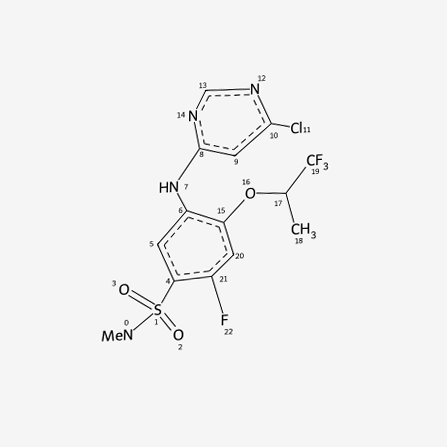 CNS(=O)(=O)c1cc(Nc2cc(Cl)ncn2)c(OC(C)C(F)(F)F)cc1F